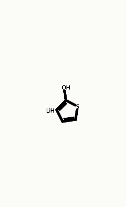 Oc1cccs1.[LiH]